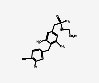 CCOC(=O)CNP(C)(=O)Cc1cc(C)c(Cc2ccc(O)c(C(C)C)c2)c(C)c1